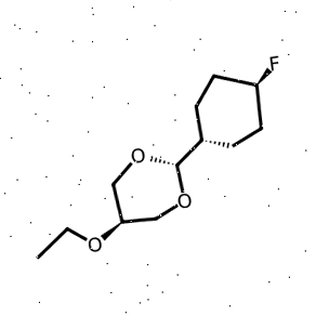 CCO[C@H]1CO[C@H]([C@H]2CC[C@H](F)CC2)OC1